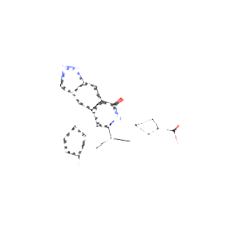 CC(C)c1c(-c2ccc(F)c(F)c2)c2cc3cn[nH]c3cc2c(=O)n1[C@H]1C[C@H](C(=O)O)C1